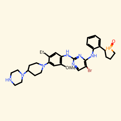 CCc1cc(Nc2ncc(Br)c(Nc3ccccc3C3CCC[PH]3=O)n2)c(OC)cc1N1CCC(N2CCNCC2)CC1